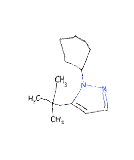 CC(C)(C)c1ccnn1C1CCCC1